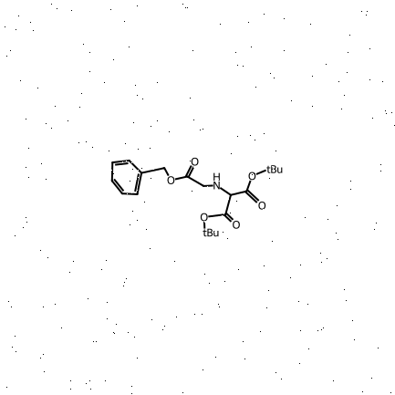 CC(C)(C)OC(=O)C(NCC(=O)OCc1ccccc1)C(=O)OC(C)(C)C